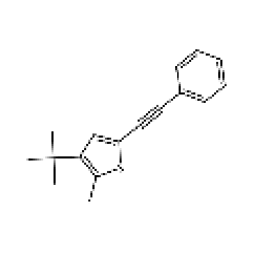 Cc1sc(C#Cc2ccccc2)cc1C(C)(C)C